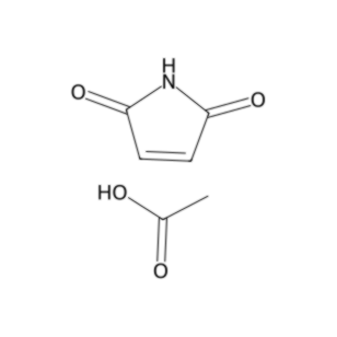 CC(=O)O.O=C1C=CC(=O)N1